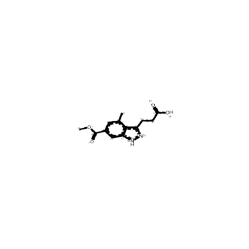 COC(=O)c1cc(C)c2c(CCC(=O)O)n[nH]c2c1